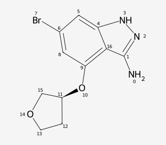 Nc1n[nH]c2cc(Br)cc(O[C@H]3CCOC3)c12